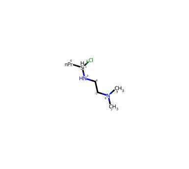 CCC[SiH](Cl)NCCN(C)C